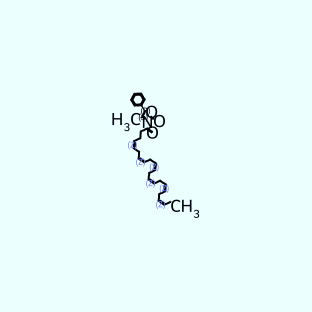 CC/C=C\C/C=C\C/C=C\C/C=C\C/C=C\C/C=C\CCC(=O)N1C(=O)O[C@H](c2ccccc2)[C@@H]1C